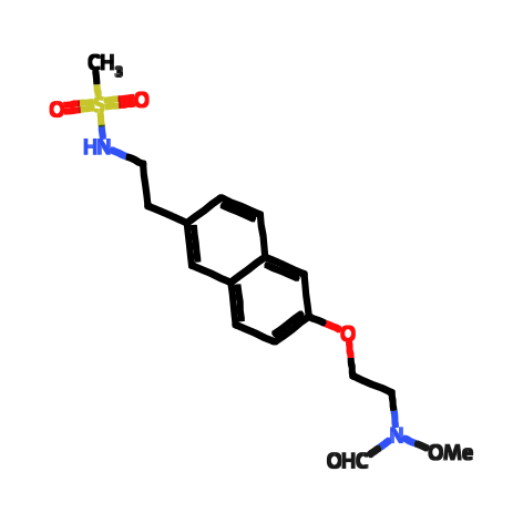 CON(C=O)CCOc1ccc2cc(CCNS(C)(=O)=O)ccc2c1